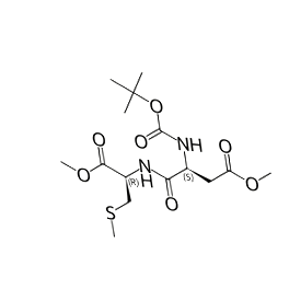 COC(=O)C[C@H](NC(=O)OC(C)(C)C)C(=O)N[C@@H](CSC)C(=O)OC